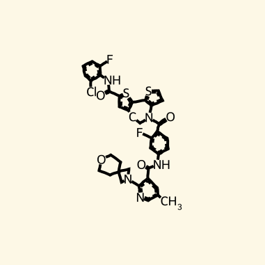 Cc1cnc(N2CC3(CCOCC3)C2)c(C(=O)Nc2ccc(C(=O)N3CCc4cc(C(=O)Nc5c(F)cccc5Cl)sc4-c4sccc43)c(F)c2)c1